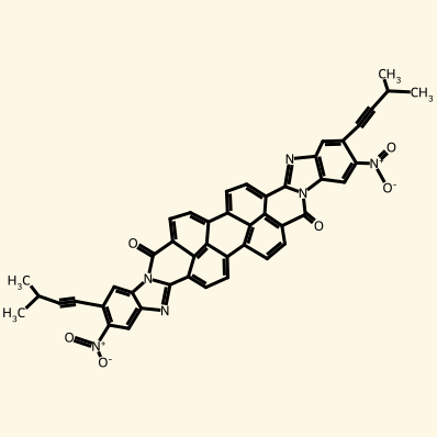 CC(C)C#Cc1cc2c(cc1[N+](=O)[O-])nc1c3ccc4c5ccc6c(=O)n7c8cc([N+](=O)[O-])c(C#CC(C)C)cc8nc7c7ccc(c8ccc(c(=O)n21)c3c48)c5c67